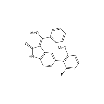 COC(=C1C(=O)Nc2ccc(-c3c(F)cccc3OC)cc21)c1ccccc1